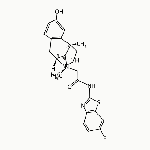 CN1CC[C@@]2(C)c3cc(O)ccc3C[C@@H]1[C@@H]2N(C)CC(=O)Nc1nc2ccc(F)cc2s1